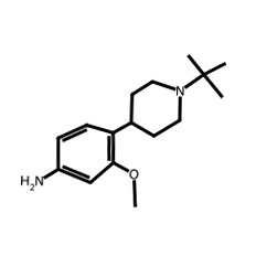 COc1cc(N)ccc1C1CCN(C(C)(C)C)CC1